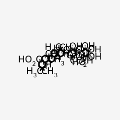 CC1(C)CC[C@]2(C(=O)O)CC[C@]3(C)C(=CC[C@@H]4[C@@]5(C)CC[C@H](O[C@@H]6O[C@H](C(=O)O)[C@@H](O)[C@H](O[C@@H]7O[C@H](CO)[C@@H](O)[C@H](O)[C@H]7O)[C@H]6O)C(C)(C)[C@@H]5CC[C@]43C)[C@@H]2C1